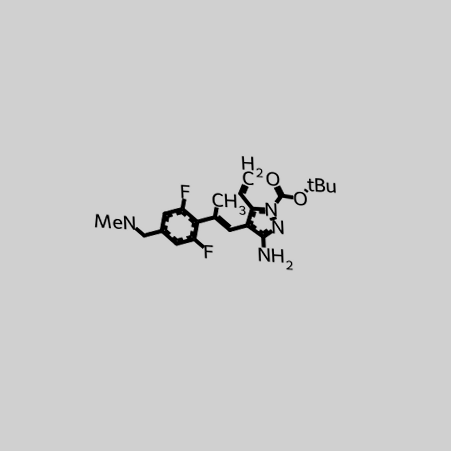 C=Cc1c(/C=C(\C)c2c(F)cc(CNC)cc2F)c(N)nn1C(=O)OC(C)(C)C